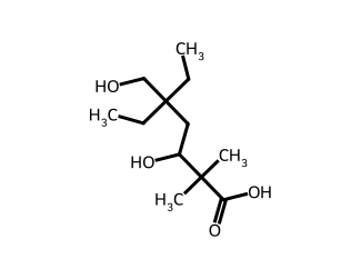 CCC(CC)(CO)CC(O)C(C)(C)C(=O)O